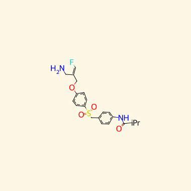 CC(C)C(=O)Nc1ccc(CS(=O)(=O)c2ccc(OCC(=CF)CN)cc2)cc1